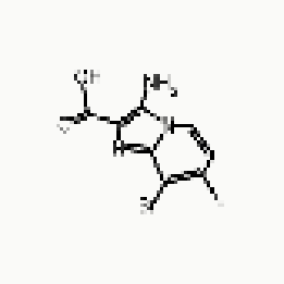 Nc1c(C(=O)O)nc2c(Br)c(F)ccn12